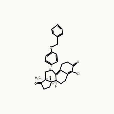 C[C@]12C[C@H](c3ccc(OCc4ccccc4)cc3)C3=C4CCC(=O)C(Cl)=C4CC[C@H]3[C@@H]1CCC2=O